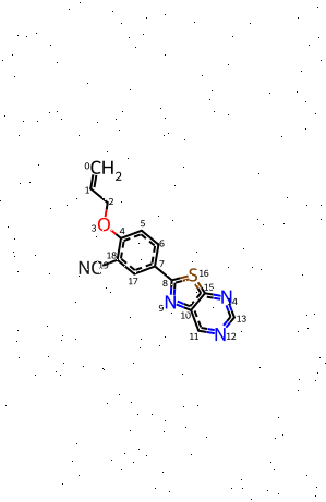 C=CCOc1ccc(-c2nc3cncnc3s2)cc1C#N